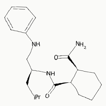 CC(C)C[C@@H](CNc1ccccc1)NC(=O)[C@@H]1CCCC[C@@H]1C(N)=O